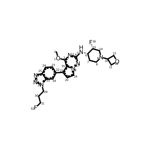 COc1nc(N[C@H]2CCN(C3COC3)C[C@H]2F)nn2ccc(-c3ccc4nnn(CCCF)c4c3)c12